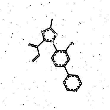 C=CC(=C)c1nc(C)nn1-c1ccc(-c2ccccc2)cc1C(C)C